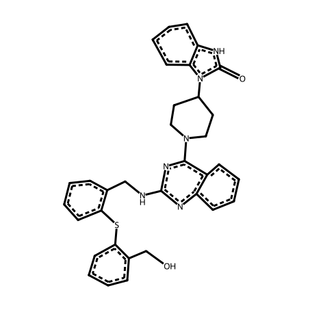 O=c1[nH]c2ccccc2n1C1CCN(c2nc(NCc3ccccc3Sc3ccccc3CO)nc3ccccc23)CC1